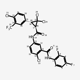 O=C(Nc1ccc(F)cc1F)c1cc(NC(=O)[C@H]2[C@H](c3ccc(Cl)c(C(F)(F)F)c3)C2(Cl)Cl)ccc1Cl